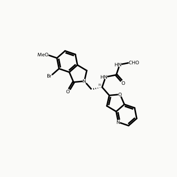 COc1ccc2c(c1Br)C(=O)N(C[C@H](NC(=O)NC=O)c1cc3ncccc3o1)C2